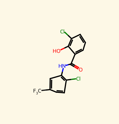 O=C(Nc1cc(C(F)(F)F)ccc1Cl)c1cccc(Cl)c1O